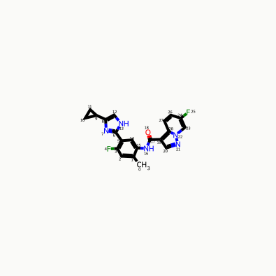 Cc1cc(F)c(-c2nc(C3CC3)c[nH]2)cc1NC(=O)c1cnn2cc(F)ccc12